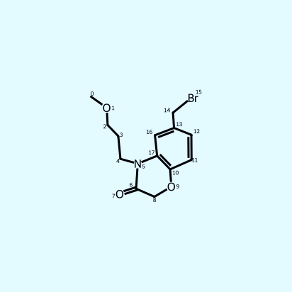 COCCCN1C(=O)COc2ccc(CBr)cc21